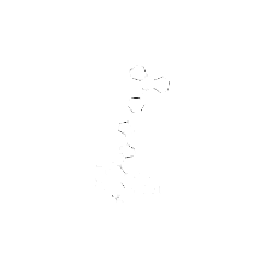 CC(=C(\C#N)C(=O)O)/C(C)=C(\C)c1ccc(-c2ccc(-c3ccc(-n4c5ccccc5c5ccccc54)cc3)s2)s1